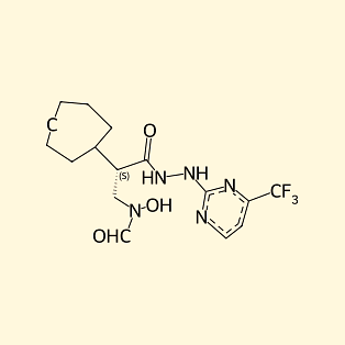 O=CN(O)C[C@@H](C(=O)NNc1nccc(C(F)(F)F)n1)C1CCCCCC1